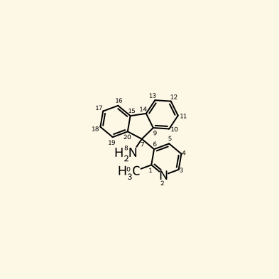 Cc1ncccc1C1(N)c2ccccc2-c2ccccc21